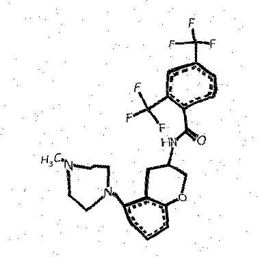 CN1CCN(c2cccc3c2CC(NC(=O)c2ccc(C(F)(F)F)cc2C(F)(F)F)CO3)CC1